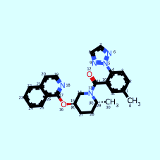 Cc1ccc(-n2nccn2)c(C(=O)N2C[C@H](Oc3nccc4ccccc34)CC[C@H]2C)c1